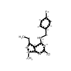 CCc1nn(C)c2nc(Cl)nc(NCc3ccc(F)cc3)c12